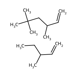 C=CC(C)CC.C=CC(C)CC(C)(C)C